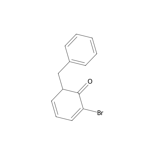 O=C1C(Br)=CC=CC1Cc1ccccc1